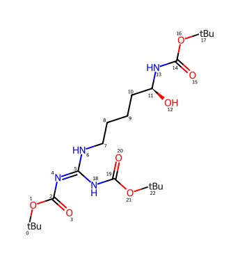 CC(C)(C)OC(=O)N=C(NCCCC[C@H](O)NC(=O)OC(C)(C)C)NC(=O)OC(C)(C)C